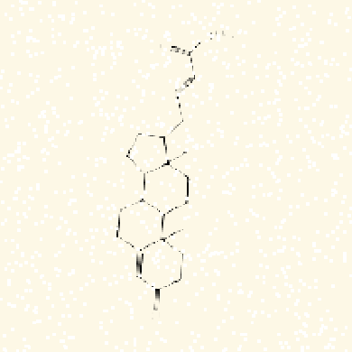 COC(=O)/C=C/CC1CCC2C3CCC4=CC(=O)CCC4(C)C3CCC12C